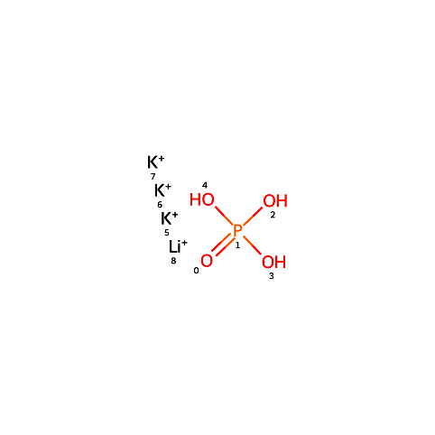 O=P(O)(O)O.[K+].[K+].[K+].[Li+]